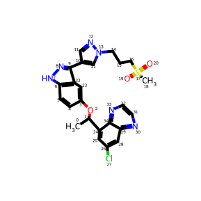 CC(Oc1ccc2[nH]nc(-c3cnn(CCCS(C)(=O)=O)c3)c2c1)c1cc(Cl)cc2nccnc12